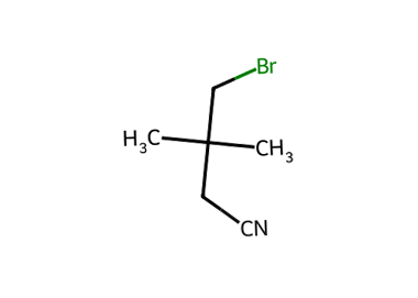 CC(C)(CBr)CC#N